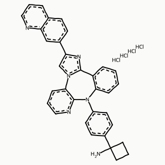 Cl.Cl.Cl.Cl.NC1(c2ccc(N3c4ccccc4-c4nc(-c5ccc6cccnc6c5)cn4-c4cccnc43)cc2)CCC1